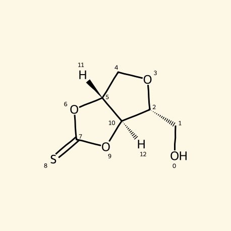 OC[C@H]1OC[C@H]2OC(=S)O[C@H]12